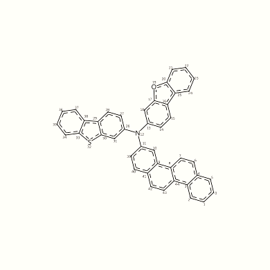 c1ccc2c(c1)ccc1c3cc(N(c4ccc5c(c4)oc4ccccc45)c4ccc5c(c4)sc4ccccc45)ccc3ccc21